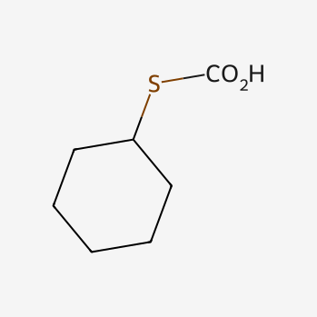 O=C(O)SC1CCCCC1